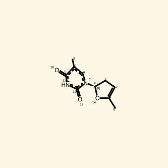 CC1=CC[C@H](n2cc(C)c(=O)[nH]c2=O)O1